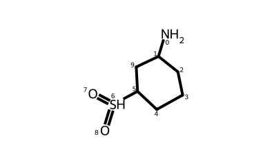 NC1CCCC([SH](=O)=O)C1